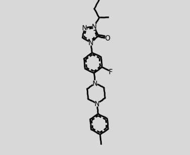 CCC(C)n1ncn(-c2ccc(N3CCN(c4ccc(C)cc4)CC3)c(F)c2)c1=O